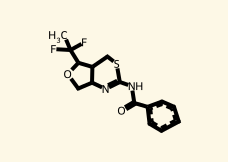 CC(F)(F)C1OCC2N=C(NC(=O)c3ccccc3)SCC21